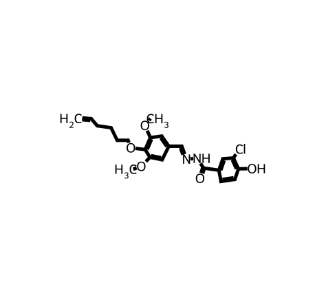 C=CCCCCOc1c(OC)cc(/C=N/NC(=O)c2ccc(O)c(Cl)c2)cc1OC